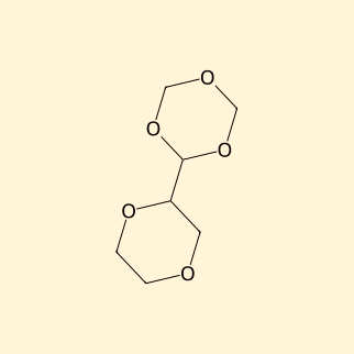 C1COC(C2OCOCO2)CO1